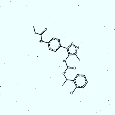 COC(=O)Nc1ccc(-c2onc(C)c2NC(=O)OC(C)c2ccccc2Cl)cc1